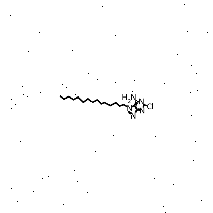 CCCCCCCCCCCCCCCn1cnc2nc(Cl)nc(N)c21